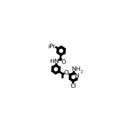 CC(C)c1cccc(C(=O)Nc2cccc(C(C)Oc3cc(Cl)cnc3N)c2)c1